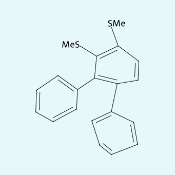 CSc1ccc(-c2ccccc2)c(-c2ccccc2)c1SC